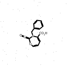 O=C=C1OC=CC=C(C(=O)O)N1Cc1ccccc1